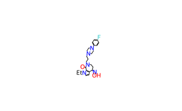 CCn1ccc2c1C(=O)N(CCCN1CCN(c3ccc(F)cc3)CC1)CC/C2=N/O